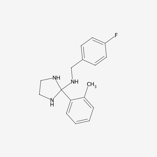 Cc1ccccc1C1(NCc2ccc(F)cc2)NCCN1